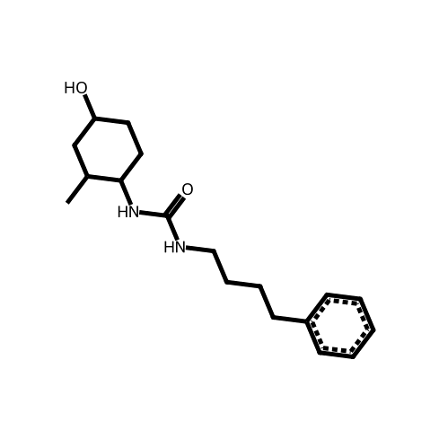 CC1CC(O)CCC1NC(=O)NCCCCc1ccccc1